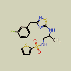 CC(CNS(=O)(=O)c1cccs1)Nc1nc(Cc2cccc(F)c2)ns1